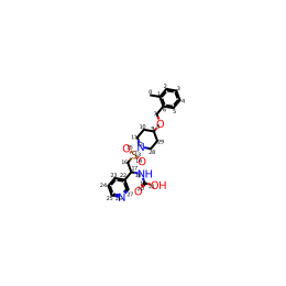 Cc1ccccc1COC1CCN(S(=O)(=O)CC(NC(=O)O)c2cccnc2)CC1